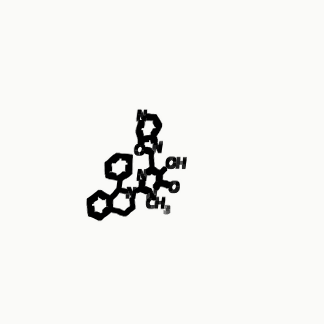 Cn1c(N2CCc3ccccc3C2c2ccccc2)nc(-c2nc3ccncc3o2)c(O)c1=O